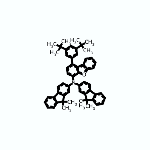 CC(C)(C)c1cc(-c2ccc(N(c3ccc4c(c3)C(C)(C)c3ccccc3-4)c3ccc4c(c3)C(C)(C)c3ccccc3-4)c3oc4ccccc4c23)cc(C(C)(C)C)c1